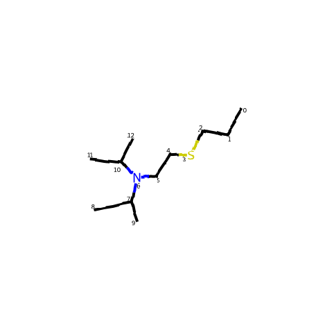 CC[CH]SCCN(C(C)C)C(C)C